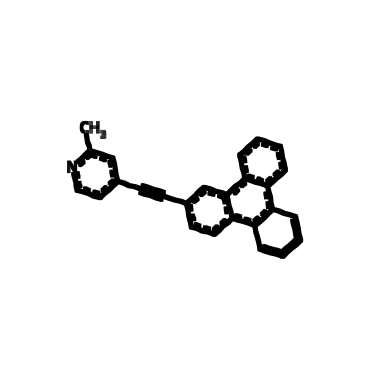 Cc1cc(C#Cc2ccc3c4c(c5ccccc5c3c2)C=C=C=C4)ccn1